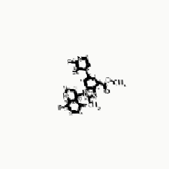 COC(=O)c1cc(-c2ccnc(F)c2F)cc2c1nc(C)n2-c1ccnc2c(F)ccc(F)c12